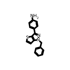 Nc1ccc(-c2nn(Cc3ccccc3)c3ccsc23)cc1